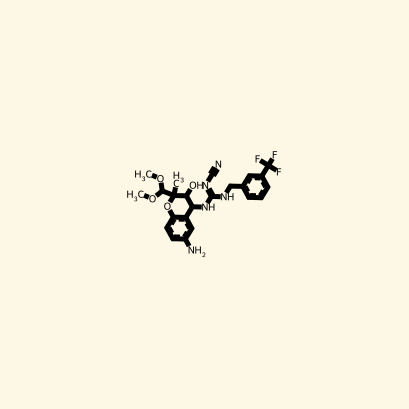 COC(OC)C1(C)Oc2ccc(N)cc2C(NC(=NC#N)NCc2cccc(C(F)(F)F)c2)C1O